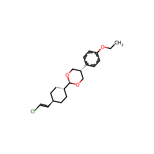 CCOc1ccc([C@H]2CO[C@H]([C@H]3CC[C@H](/C=C/Cl)CC3)OC2)cc1